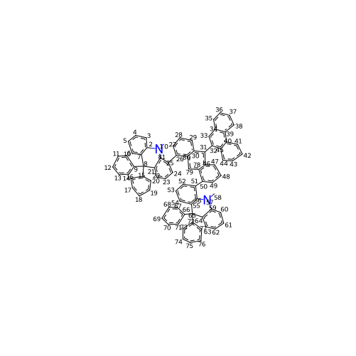 CN1c2ccccc2C(c2ccccc2)(c2ccccc2)c2cccc(-c3cccc4c(-c5cc6ccccc6c6ccccc56)c5cccc(-c6cccc7c6N(C)c6ccccc6C7(c6ccccc6)c6ccccc6)c5cc34)c21